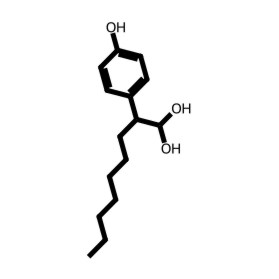 CCCCCCCC(c1ccc(O)cc1)C(O)O